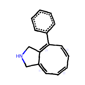 C1=C\C=C2\CNC\C2=C(c2ccccc2)\C=C/1